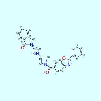 O=C(c1ccc2nc(-c3ccccc3)oc2c1)N1CC(N2CC(N3Cc4ccccc4C3=O)C2)C1